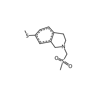 CSc1ccc2c(c1)CN(CS(C)(=O)=O)CC2